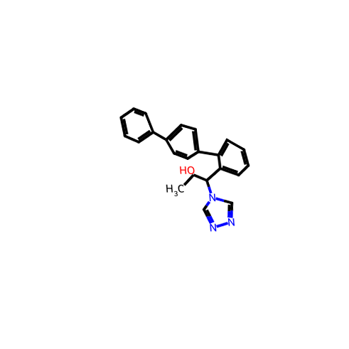 CC(O)C(c1ccccc1-c1ccc(-c2ccccc2)cc1)n1cnnc1